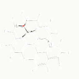 Fc1c(F)c(F)c2c(P(c3c(F)c(F)c(F)c4c(F)c(F)c(F)c(F)c34)c3c(F)c(F)c(F)c4c(F)c(F)c(F)c(F)c34)c(F)c(F)c(F)c2c1F